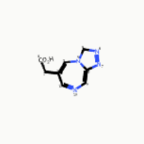 O=C(O)CC1=CN2CN=NC2=CN=C1